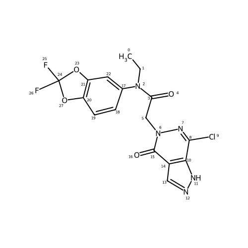 CCN(C(=O)Cn1nc(Cl)c2[nH]ncc2c1=O)c1ccc2c(c1)OC(F)(F)O2